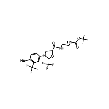 CC(C)(C)OC(=O)NCCNC(=O)[C@@H]1CN(c2ccc(C#N)c(C(F)(F)F)c2)[C@@H](C(F)(F)F)O1